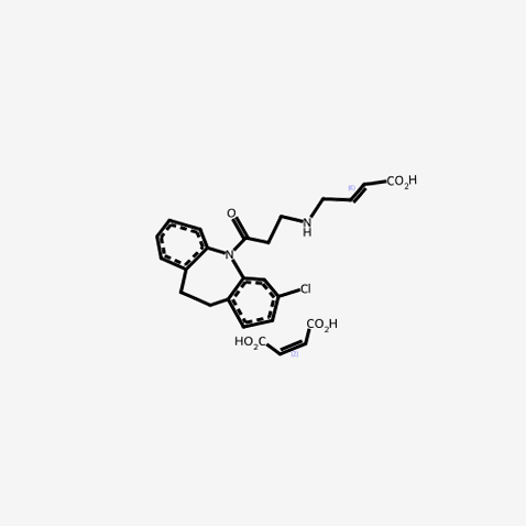 O=C(O)/C=C/CNCCC(=O)N1c2ccccc2CCc2ccc(Cl)cc21.O=C(O)/C=C\C(=O)O